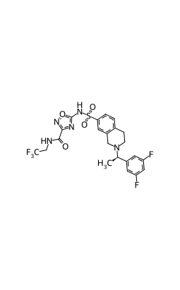 C[C@H](c1cc(F)cc(F)c1)N1CCc2ccc(S(=O)(=O)Nc3nc(C(=O)NCC(F)(F)F)no3)cc2C1